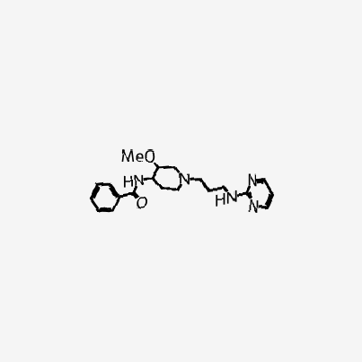 COC1CN(CCCNc2ncccn2)CCC1NC(=O)c1ccccc1